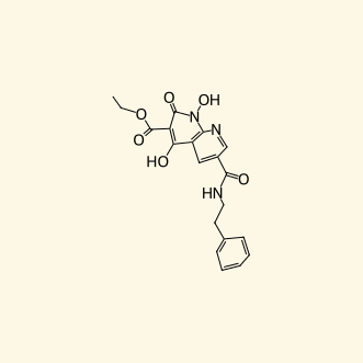 CCOC(=O)c1c(O)c2cc(C(=O)NCCc3ccccc3)cnc2n(O)c1=O